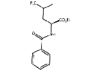 CCOC(=O)[C@H](CC(C)C(F)(F)F)NC(=O)c1ccccc1